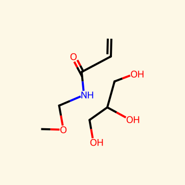 C=CC(=O)NCOC.OCC(O)CO